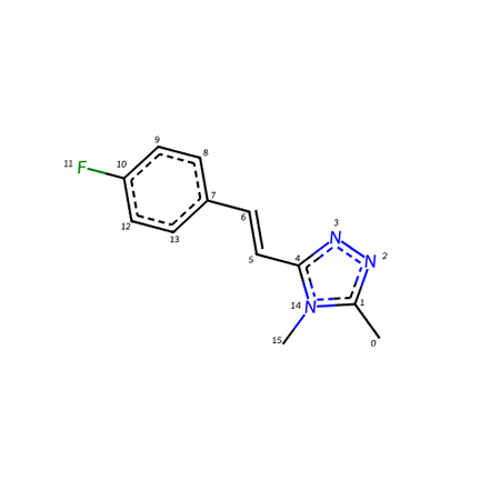 Cc1nnc(/C=C/c2ccc(F)cc2)n1C